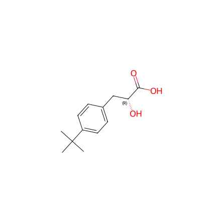 CC(C)(C)c1ccc(C[C@@H](O)C(=O)O)cc1